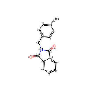 CC(C)(C)c1ccc(CN2C(=O)c3ccccc3C2=O)cc1